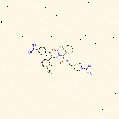 N=C(N)c1ccc(CC(CN(C(=O)C(F)(F)F)C(C(=O)NCC2CCN(C(=N)N)CC2)C2CCCCC2)c2cccc(C(F)(F)F)c2)cc1